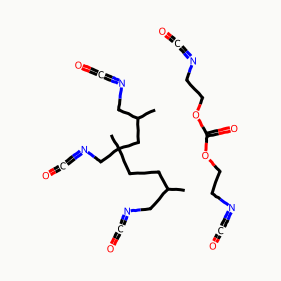 CC(CCC(C)(CN=C=O)CC(C)CN=C=O)CN=C=O.O=C=NCCOC(=O)OCCN=C=O